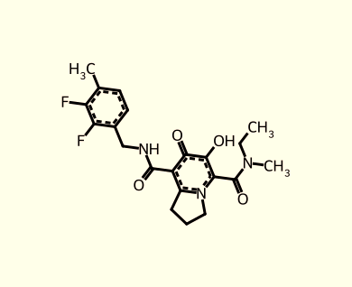 CCN(C)C(=O)c1c(O)c(=O)c(C(=O)NCc2ccc(C)c(F)c2F)c2n1CCC2